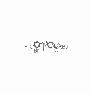 CC1(NCc2ccc(C(F)(F)F)c(Br)c2)CCN(C(=O)OC(C)(C)C)CC1